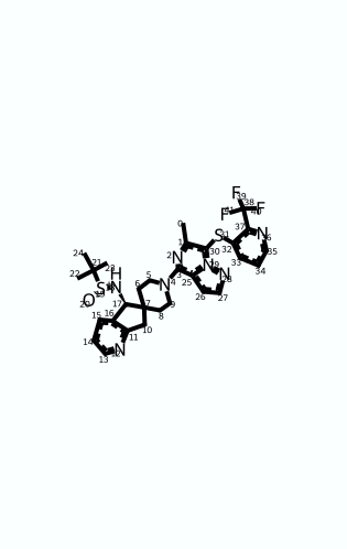 Cc1nc(N2CCC3(CC2)Cc2ncccc2[C@H]3N[S+]([O-])C(C)(C)C)c2ccnn2c1Sc1cccnc1C(F)(F)F